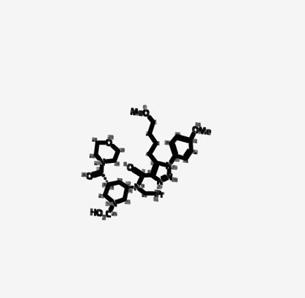 COCCCCc1c(C(=O)N(CC(C)C)[C@H]2C[C@@H](C(=O)N3CCOCC3)CN(C(=O)O)C2)nnn1-c1ccc(OC)cc1